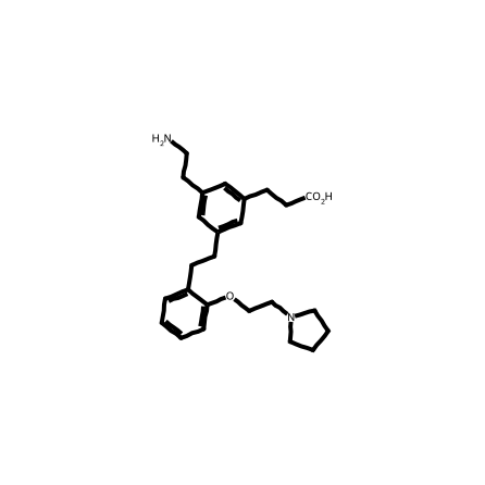 NCCc1cc(CCC(=O)O)cc(CCc2ccccc2OCCN2CCCC2)c1